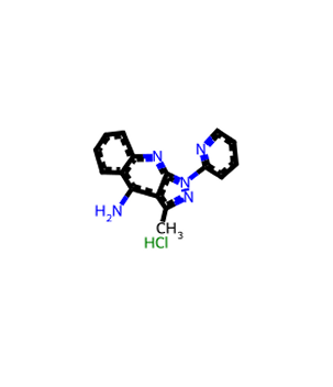 Cc1nn(-c2ccccn2)c2nc3ccccc3c(N)c12.Cl